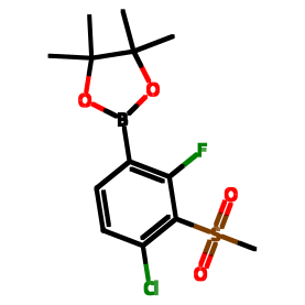 CC1(C)OB(c2ccc(Cl)c(S(C)(=O)=O)c2F)OC1(C)C